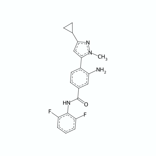 Cn1nc(C2CC2)cc1-c1ccc(C(=O)Nc2c(F)cccc2F)cc1N